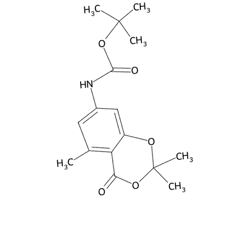 Cc1cc(NC(=O)OC(C)(C)C)cc2c1C(=O)OC(C)(C)O2